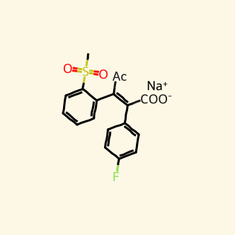 CC(=O)C(=C(C(=O)[O-])c1ccc(F)cc1)c1ccccc1S(C)(=O)=O.[Na+]